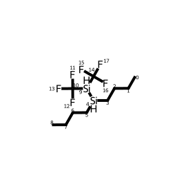 CCCC[SiH](CCCC)[SiH](C(F)(F)F)C(F)(F)F